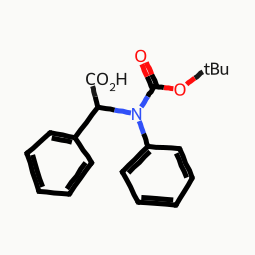 CC(C)(C)OC(=O)N(c1ccccc1)C(C(=O)O)c1ccccc1